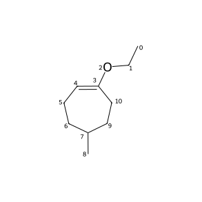 CCOC1=CCCC(C)CC1